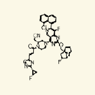 N#CC[C@H]1CN(c2nc(OC[C@@]34CCCN3C[C@H](F)C4)nc3c(F)c(-c4cccc5cccc(Cl)c45)ncc23)CCN1C(=O)/C=C/c1nc([C@H]2C[C@@H]2F)no1